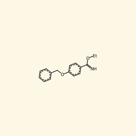 CCOC(=N)c1ccc(OCc2ccccc2)cc1